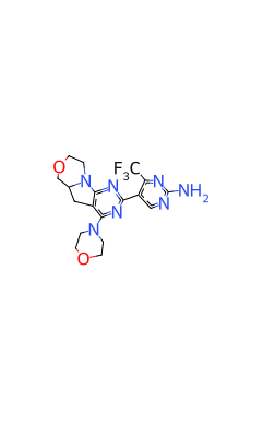 Nc1ncc(-c2nc(N3CCOCC3)c3c(n2)N2CCOCC2C3)c(C(F)(F)F)n1